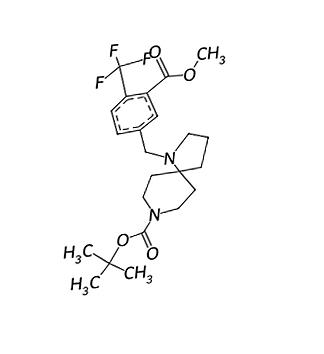 COC(=O)c1cc(CN2CCCC23CCN(C(=O)OC(C)(C)C)CC3)ccc1C(F)(F)F